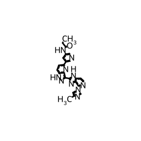 CCC(=O)Nc1cncc(-c2ccc3[nH]nc(-c4nc5c(-n6cnc(C)c6)nccc5[nH]4)c3n2)c1